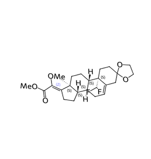 COC(=O)/C(OC)=C1\CC[C@H]2[C@@H]3CC=C4CC5(CC[C@]4(C(F)F)[C@H]3CC[C@]12C)OCCO5